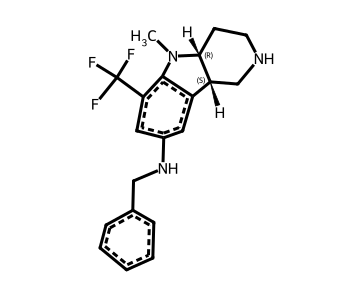 CN1c2c(cc(NCc3ccccc3)cc2C(F)(F)F)[C@H]2CNCC[C@H]21